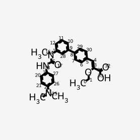 CCOC(=Cc1ccc(-c2cccc(N(C)C(=O)Nc3ccc(N(C)C)cc3)c2)cc1)C(=O)O